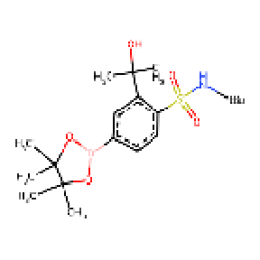 CC(C)(C)NS(=O)(=O)c1ccc(B2OC(C)(C)C(C)(C)O2)cc1C(C)(C)O